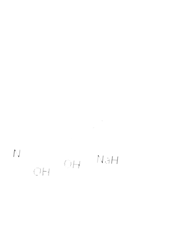 O/N=C\c1ccccc1O.[NaH]